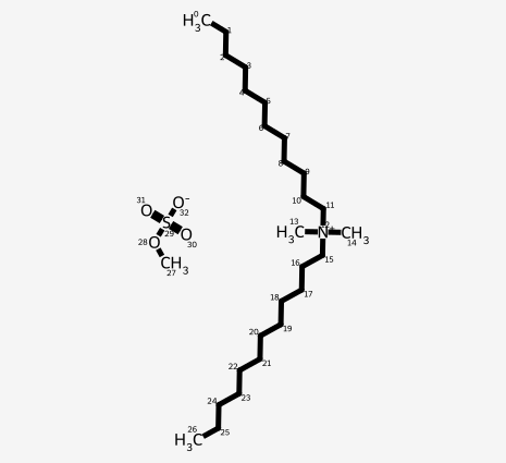 CCCCCCCCCCCC[N+](C)(C)CCCCCCCCCCCC.COS(=O)(=O)[O-]